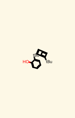 CC(C)(C)c1cc2ccc1-2.CC(C)(C)c1ccccc1O